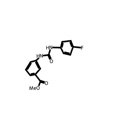 COC(=O)c1cccc(NC(=O)Nc2ccc(F)cc2)c1